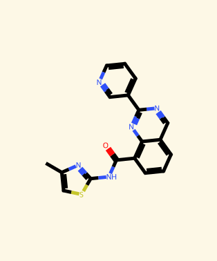 Cc1csc(NC(=O)c2cccc3cnc(-c4cccnc4)nc23)n1